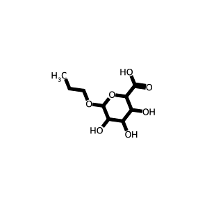 CCCOC1OC(C(=O)O)C(O)C(O)C1O